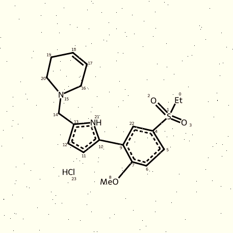 CCS(=O)(=O)c1ccc(OC)c(-c2ccc(CN3CC=CCC3)[nH]2)c1.Cl